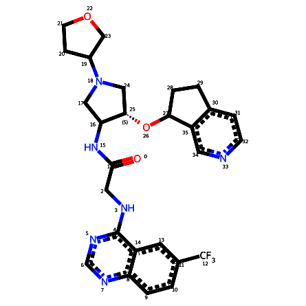 O=C(CNc1ncnc2ccc(C(F)(F)F)cc12)NC1CN(C2CCOC2)C[C@@H]1OC1CCc2ccncc21